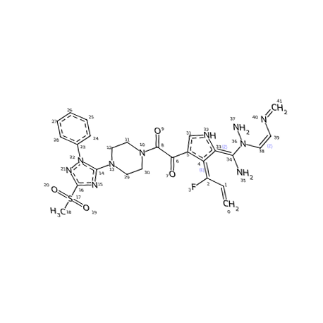 C=C/C(F)=c1/c(C(=O)C(=O)N2CCN(c3nc(S(C)(=O)=O)nn3-c3ccccc3)CC2)c[nH]/c1=C(/N)N(N)/C=C\N=C